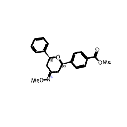 CO/N=C1\C[C@@H](c2ccccc2)O[C@@H](c2ccc(C(=O)OC)cc2)C1